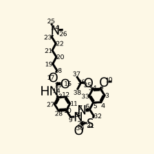 COc1ccc(C2=NN(Cc3ccc(NC(=O)OCCCCCCN(C)C)cc3)C(=O)SC2)cc1OC(C)C